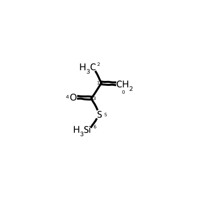 C=C(C)C(=O)S[SiH3]